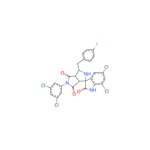 O=C1C2C(Cc3ccc(F)cc3)NC3(C(=O)Nc4c(Cl)cc(Cl)cc43)C2C(=O)N1c1cc(Cl)cc(Cl)c1